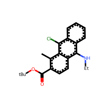 CCNc1c2ccccc2c(Cl)c2c(C)c(C(=O)OC(C)(C)C)ccc12